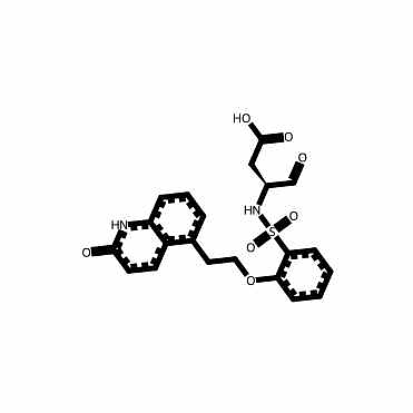 O=C[C@H](CC(=O)O)NS(=O)(=O)c1ccccc1OCCc1cccc2[nH]c(=O)ccc12